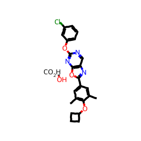 Cc1cc(-c2nc3cnc(Oc4cccc(Cl)c4)nc3o2)cc(C)c1OC1CCC1.O=C(O)O